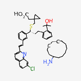 CC(C)(O)c1ccccc1CC[C@@H](SCC1(CC(=O)O)CC1)c1cccc(C=Cc2ccc3ccc(Cl)cc3n2)c1.NC1CCCCCCCCCCC1